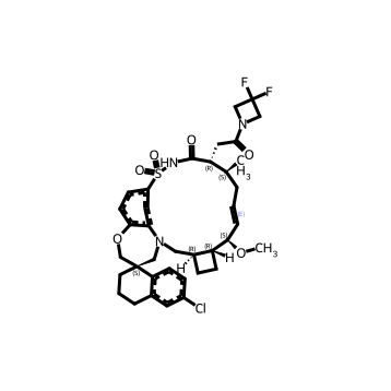 CO[C@@H]1/C=C/C[C@H](C)[C@@H](CC(=O)N2CC(F)(F)C2)C(=O)NS(=O)(=O)c2ccc3c(c2)N(C[C@@H]2CC[C@H]21)C[C@@]1(CCCc2cc(Cl)ccc21)CO3